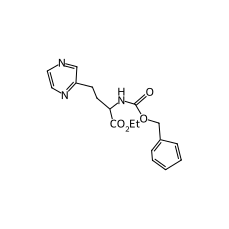 CCOC(=O)C(CCc1cnccn1)NC(=O)OCc1ccccc1